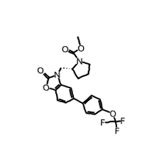 COC(=O)N1CCC[C@@H]1Cn1c(=O)oc2ccc(-c3ccc(OC(F)(F)F)cc3)cc21